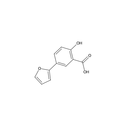 O=C(O)c1cc(-c2ccco2)ccc1O